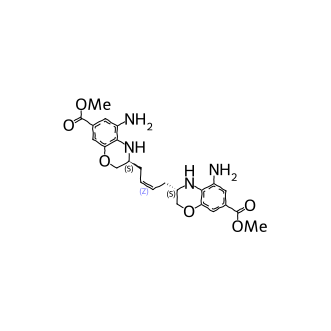 COC(=O)c1cc(N)c2c(c1)OC[C@H](C/C=C\C[C@H]1COc3cc(C(=O)OC)cc(N)c3N1)N2